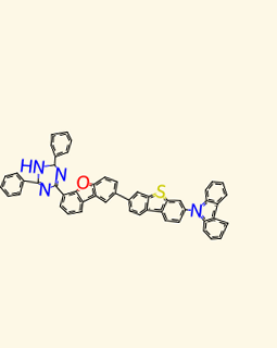 c1ccc(C2=NC(c3cccc4c3oc3ccc(-c5ccc6c(c5)sc5cc(-n7c8ccccc8c8ccccc87)ccc56)cc34)=NC(c3ccccc3)N2)cc1